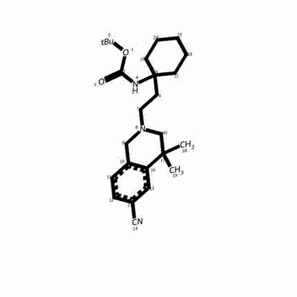 CC(C)(C)OC(=O)NC1(CCN2Cc3ccc(C#N)cc3C(C)(C)C2)CCCCC1